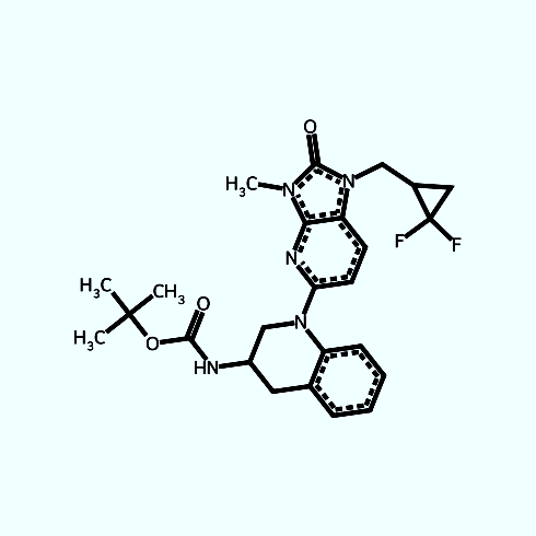 Cn1c(=O)n(CC2CC2(F)F)c2ccc(N3CC(NC(=O)OC(C)(C)C)Cc4ccccc43)nc21